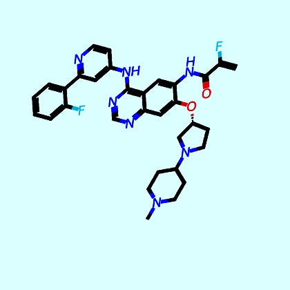 C=C(F)C(=O)Nc1cc2c(Nc3ccnc(-c4ccccc4F)c3)ncnc2cc1O[C@@H]1CCN(C2CCN(C)CC2)C1